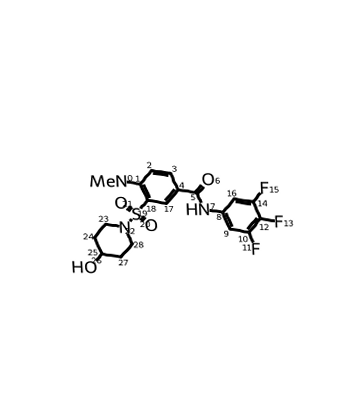 CNc1ccc(C(=O)Nc2cc(F)c(F)c(F)c2)cc1S(=O)(=O)N1CCC(O)CC1